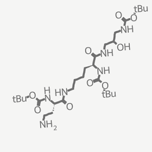 CC(C)(C)OC(=O)NCC(O)CNC(=O)[C@H](CCCCNC(=O)[C@H](CCN)NC(=O)OC(C)(C)C)NC(=O)OC(C)(C)C